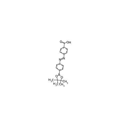 CC1(C)OB(c2ccc(/N=N/c3ccc(C(=O)O)cc3)cc2)OC1(C)C